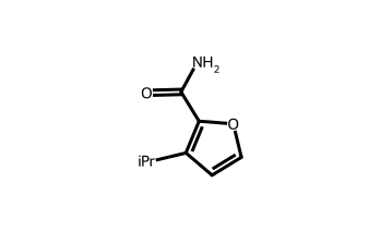 CC(C)c1ccoc1C(N)=O